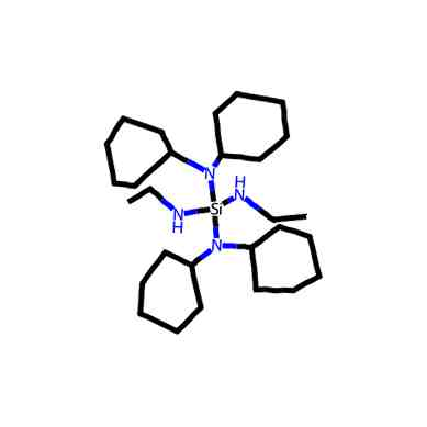 CCN[Si](NCC)(N(C1CCCCC1)C1CCCCC1)N(C1CCCCC1)C1CCCCC1